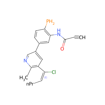 C#CC(=O)Nc1cc(-c2cnc(C)c(/C(Cl)=C\CCC)c2)ccc1P